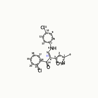 Cc1cc(/C(=C\Nc2ccc(Cl)cc2)C(=O)c2ccccc2Cl)on1